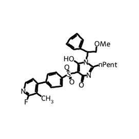 CCCCCc1nc(=O)c(S(=O)(=O)c2ccc(-c3ccnc(F)c3C)cc2)c(O)n1C(COC)c1ccccc1